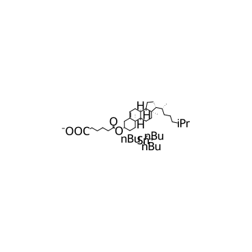 CC(C)CCC[C@@H](C)[C@H]1CC[C@H]2[C@@H]3CC=C4C[C@@H](OC(=O)CCCCC(=O)[O-])CC[C@]4(C)[C@H]3CC[C@]12C.CCC[CH2][Sn+]([CH2]CCC)[CH2]CCC